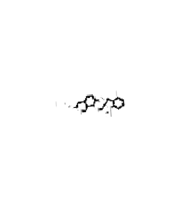 COc1cc2ccc3c(c2cn1)N=CC1(O3)N(C)c2ccccc2C1(C)C